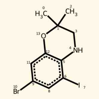 CC1(C)CNc2c(I)cc(Br)cc2O1